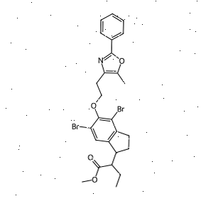 CCC(C(=O)OC)C1CCc2c1cc(Br)c(OCCc1nc(-c3ccccc3)oc1C)c2Br